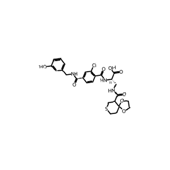 O=C(NCc1cccc(O)c1)c1ccc(C(=O)N[C@@H](CNC(=O)C2CSCCC23OCCO3)C(=O)O)c(Cl)c1